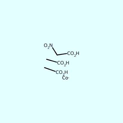 CC(=O)O.CC(=O)O.O=C(O)C[N+](=O)[O-].[Co]